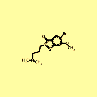 COc1cc2sn(CCCN(C)C)c(=O)c2cc1Br